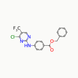 O=C(OCc1ccccc1)c1ccc(Nc2ncc(C(F)(F)F)c(Cl)n2)cc1